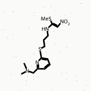 CSC(=C[N+](=O)[O-])NCCCSc1cccc(CN(C)C)n1